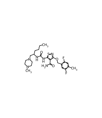 CCCCC(CN1CCN(C)CC1)NC(=O)Nc1snc(OCc2cc(F)c(C)cc2F)c1C(N)=O